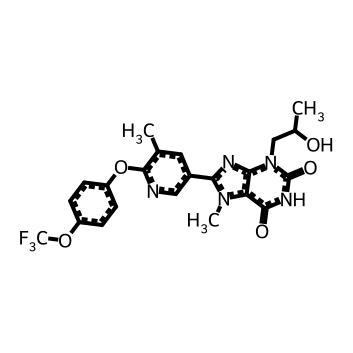 Cc1cc(-c2nc3c(c(=O)[nH]c(=O)n3CC(C)O)n2C)cnc1Oc1ccc(OC(F)(F)F)cc1